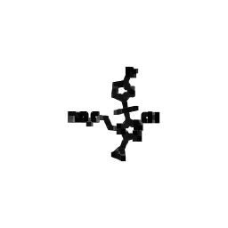 CCOC(=O)CCn1c(C2CC2)nnc1C(C)(C)c1ccc(Br)s1.Cl